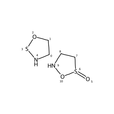 C1COSN1.O=S1CCNO1